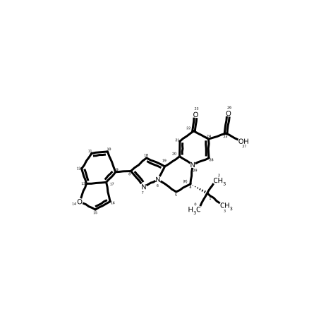 CC(C)(C)[C@@H]1Cn2nc(-c3cccc4occc34)cc2-c2cc(=O)c(C(=O)O)cn21